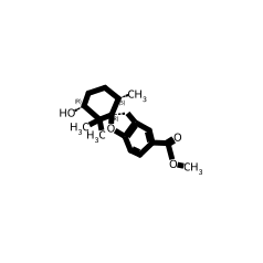 COC(=O)c1ccc2c(c1)C[C@@]1(O2)[C@@H](C)CC[C@@H](O)C1(C)C